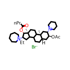 CCCC(=O)O[C@H]1[C@@H]([N+]2(CC)CCCCCC2)CC2C3CC[C@H]4C[C@H](OC(C)=O)[C@@H](N5CCCCC5)C[C@]4(C)C3CC[C@@]21C.[Br-]